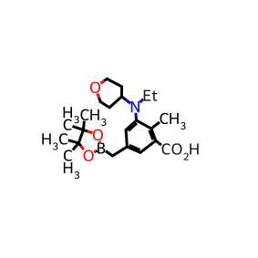 CCN(c1cc(CB2OC(C)(C)C(C)(C)O2)cc(C(=O)O)c1C)C1CCOCC1